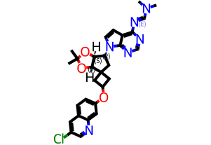 CN(C)/C=N/c1ncnc2c1ccn2[C@@H]1CC2(CC(Oc3ccc4cc(Cl)cnc4c3)C2)[C@H]2OC(C)(C)O[C@@H]12